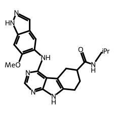 COc1cc2[nH]ncc2cc1Nc1ncnc2[nH]c3c(c12)CC(C(=O)NC(C)C)CC3